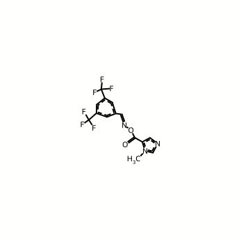 Cn1cncc1C(=O)ON=Cc1cc(C(F)(F)F)cc(C(F)(F)F)c1